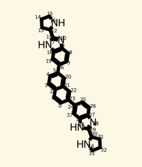 c1cc2ccc(-c3ccc4nc(C5CCCN5)[nH]c4c3)cc2cc1-c1ccc2nc(C3CCCN3)[nH]c2c1